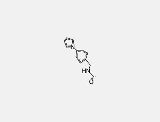 O=[C]NCc1ccc(-n2cccc2)cc1